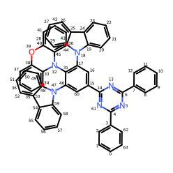 c1ccc(-c2nc(-c3ccccc3)nc(-c3cc(-n4c5ccccc5c5ccccc54)c(N4c5ccccc5Oc5ccccc54)c(-n4c5ccccc5c5ccccc54)c3)n2)cc1